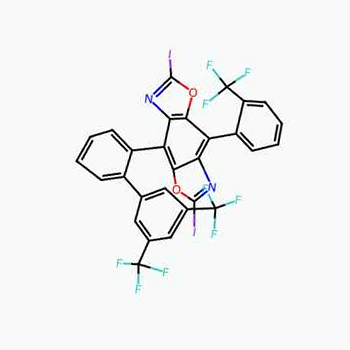 FC(F)(F)c1cc(-c2ccccc2-c2c3nc(I)oc3c(-c3ccccc3C(F)(F)F)c3nc(I)oc23)cc(C(F)(F)F)c1